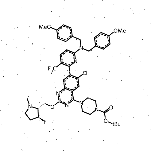 COc1ccc(CN(Cc2ccc(OC)cc2)c2ccc(C(F)(F)F)c(-c3cc4nc(OC[C@@H]5[C@@H](F)CCN5C)nc(N5CCN(C(=O)OC(C)(C)C)CC5)c4cc3Cl)n2)cc1